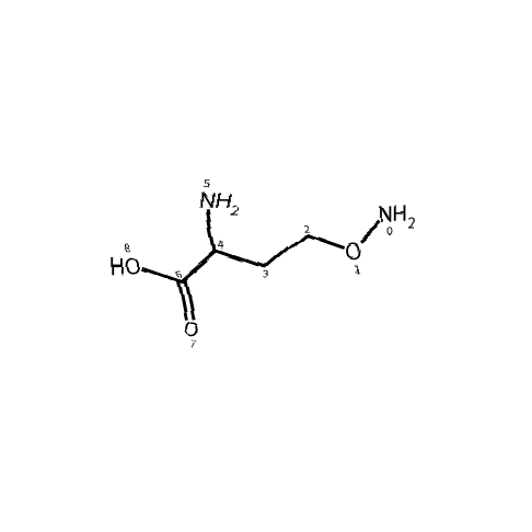 NOCCC(N)C(=O)O